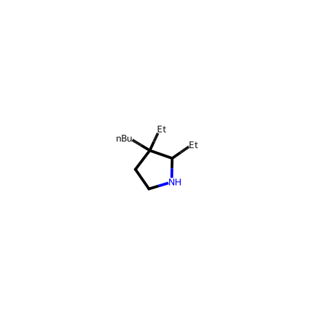 CCCCC1(CC)CCNC1CC